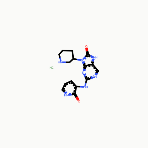 Cl.O=c1[nH]cccc1Nc1ncc2[nH]c(=O)n(C3CCCNC3)c2n1